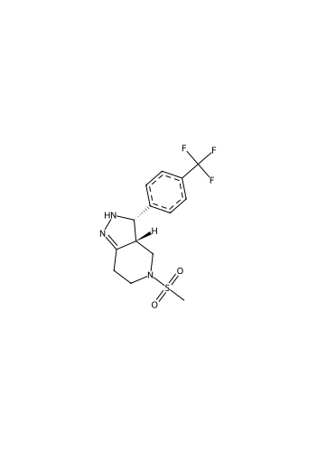 CS(=O)(=O)N1CCC2=NN[C@H](c3ccc(C(F)(F)F)cc3)[C@@H]2C1